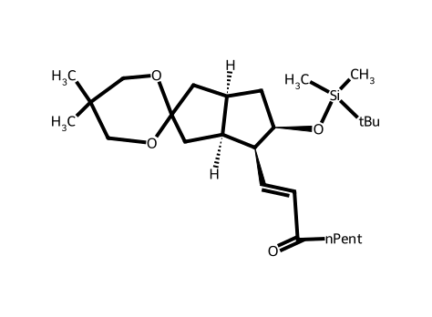 CCCCCC(=O)/C=C/[C@H]1[C@H]2CC3(C[C@H]2C[C@H]1O[Si](C)(C)C(C)(C)C)OCC(C)(C)CO3